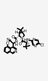 CC(C)(C)[C@H](Nc1cnc(Cl)cn1)C(=O)N1C[C@H]2[C@@H]([C@H]1C(=O)NC(C#N)c1cncc3cccc(Cl)c13)C2(C)C